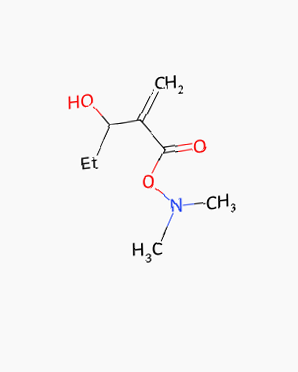 C=C(C(=O)ON(C)C)C(O)CC